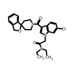 CCN(CC)C(=O)Cn1cc(C(=O)N2CCC3(CC2)OCc2ccccc23)c2ccc(Cl)cc21